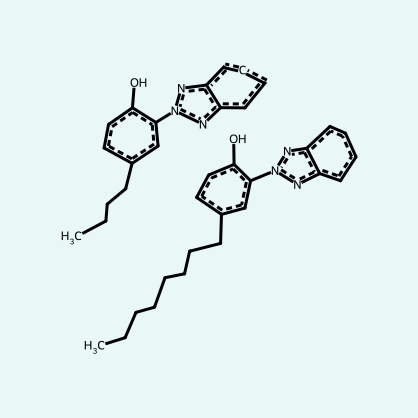 CCCCCCCCc1ccc(O)c(-n2nc3ccccc3n2)c1.CCCCc1ccc(O)c(-n2nc3ccccc3n2)c1